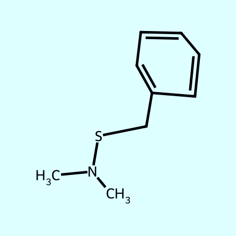 CN(C)SCc1ccccc1